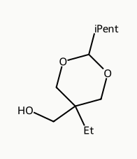 CCCC(C)C1OCC(CC)(CO)CO1